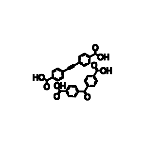 O=C(O)c1ccc(C#Cc2ccc(C(=O)O)cc2)cc1.O=C(O)c1ccc(C(=O)c2ccc(C(=O)O)cc2)cc1